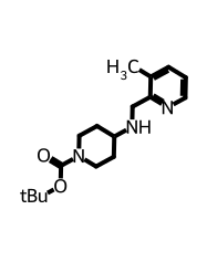 Cc1cccnc1CNC1CCN(C(=O)OC(C)(C)C)CC1